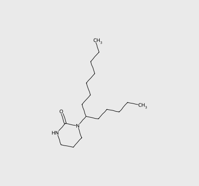 CCCCCCCC(CCCCC)N1CCCNC1=O